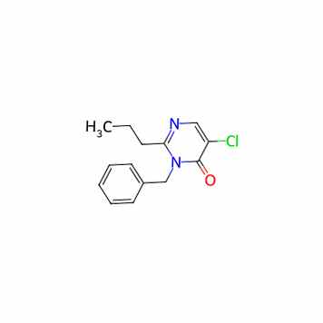 CCCc1ncc(Cl)c(=O)n1Cc1ccccc1